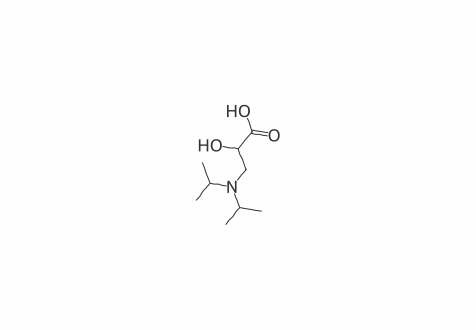 CC(C)N(CC(O)C(=O)O)C(C)C